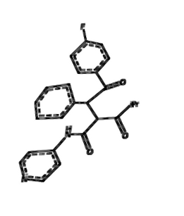 CC(C)C(=O)C(C(=O)Nc1ccncc1)C(C(=O)c1ccc(F)cc1)c1ccccc1